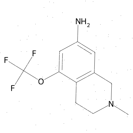 CN1CCc2c(cc(N)cc2OC(F)(F)F)C1